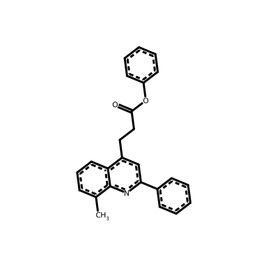 Cc1cccc2c(CCC(=O)Oc3ccccc3)cc(-c3ccccc3)nc12